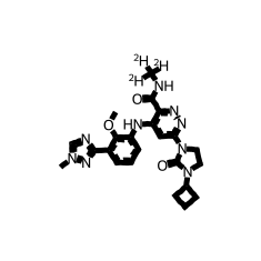 [2H]C([2H])([2H])NC(=O)c1nnc(N2CCN(C3CCC3)C2=O)cc1Nc1cccc(-c2ncn(C)n2)c1OC